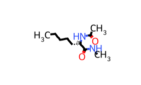 CCCCC[C@H](NC(C)=O)C(=O)NC